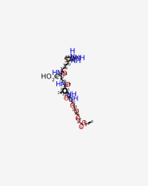 C#CCOC(=O)CCOCCOCCOCCNC(=O)Nc1cc(C)cc(C(=O)NCCCC(NC(=O)CCCCC2SCC3NC(=N)NC32)C(=O)O)c1